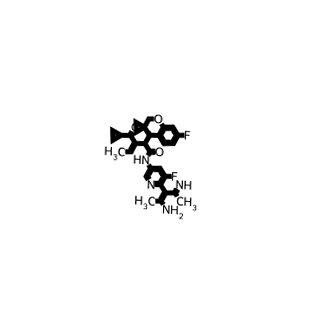 C=C(/C(=C\C)C(C(=O)Nc1cnc(/C(C(C)=N)=C(\C)N)c(F)c1)C1c2ccc(F)cc2OCC12CC2)C1CC1